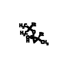 CCC(C)(C)O[Si]1(O)C[C@@]1(C)CC